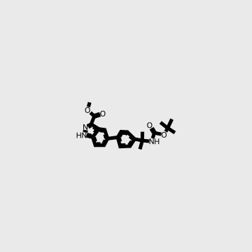 COC(=O)c1n[nH]c2ccc(-c3ccc(C(C)(C)NC(=O)OC(C)(C)C)cc3)cc12